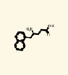 N[C@@H](CCC(=O)O)Cc1cccc2ccccc12